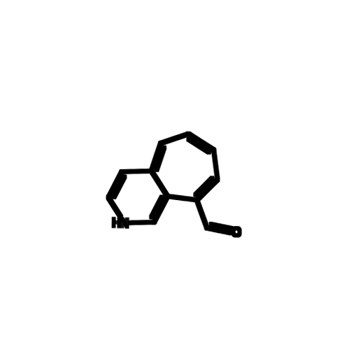 O=CC1=CC=CC=C2C=CNC=C12